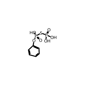 O=P(O)(O)SP(=O)(O)Oc1ccccc1